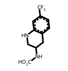 O=C(O)NC1CNc2cc(C(F)(F)F)ccc2C1